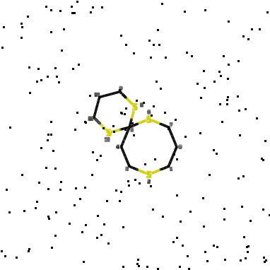 C1CSCCC2(SC1)SCCCS2